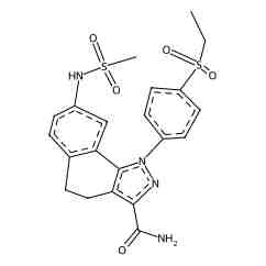 CCS(=O)(=O)c1ccc(-n2nc(C(N)=O)c3c2-c2cc(NS(C)(=O)=O)ccc2CC3)cc1